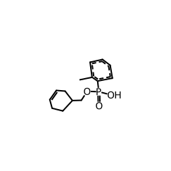 Cc1ccccc1P(=O)(O)OCC1CC=CCC1